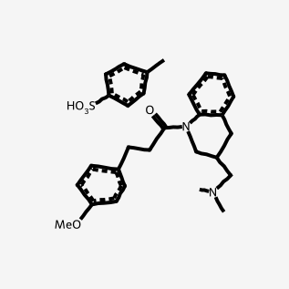 COc1ccc(CCC(=O)N2CC(CN(C)C)Cc3ccccc32)cc1.Cc1ccc(S(=O)(=O)O)cc1